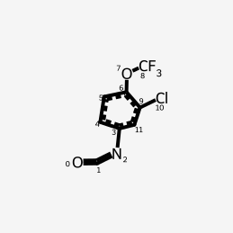 O=C=Nc1ccc(OC(F)(F)F)c(Cl)c1